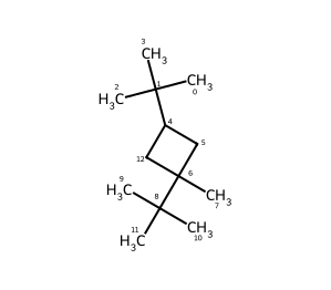 CC(C)(C)C1CC(C)(C(C)(C)C)C1